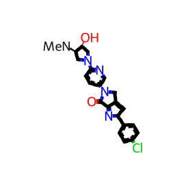 CN[C@@H]1CN(c2ccc(N3CC4=CC(c5ccc(Cl)cc5)N=C4C3=O)cn2)C[C@H]1O